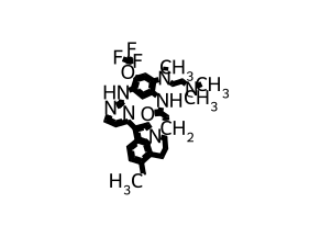 C=CC(=O)Nc1cc(Nc2nccc(-c3cn4c5c(c(CC)ccc35)CCC4)n2)c(OC(F)(F)F)cc1N(C)CCN(C)C